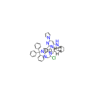 CCOC(=O)[C@@H]1C2CCC(CC2)[C@H]1Nc1cc(-n2cccc2)nc(-c2cn(C(c3ccccc3)(c3ccccc3)c3ccccc3)c3ncc(Cl)nc23)n1